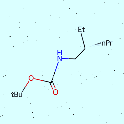 CCC[C@@H](CC)CNC(=O)OC(C)(C)C